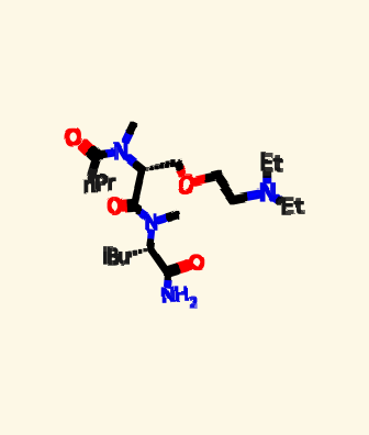 CCCC(=O)N(C)[C@H](COCCN(CC)CC)C(=O)N(C)[C@H](C(N)=O)C(C)CC